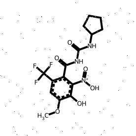 COc1cc(C(F)(F)F)c(C(=O)NC(=O)NC2CCCC2)c([N+](=O)O)c1O